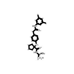 CCC(C)[C@H](NC(=O)C1(Oc2ccc(CC(=O)Nc3cc(C)cc(C)c3)cc2)CCCC1)C(=O)O